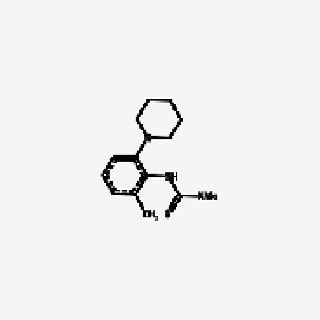 CNC(=S)Nc1c(C)cccc1N1CCCCC1